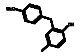 COc1ccc(Cc2cc(C)ccc2O)cc1